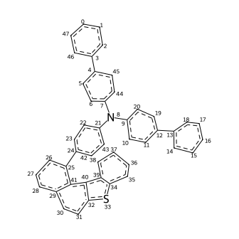 c1ccc(-c2ccc(N(c3ccc(-c4ccccc4)cc3)c3ccc(-c4cccc5ccc6sc7ccccc7c6c45)cc3)cc2)cc1